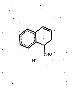 O=CC1CC=Cc2ccccc21.[H+]